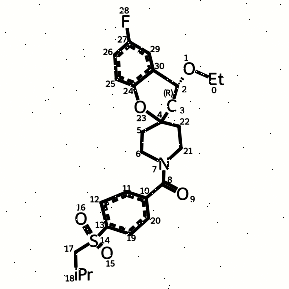 CCO[C@@H]1CC2(CCN(C(=O)c3ccc(S(=O)(=O)CC(C)C)cc3)CC2)Oc2ccc(F)cc21